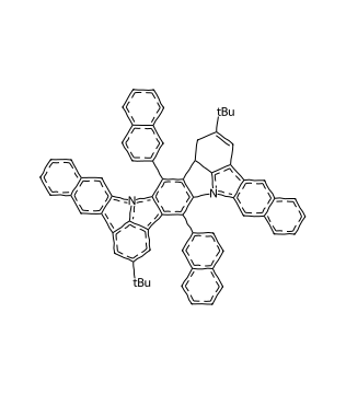 CC(C)(C)C1=Cc2c3n(c4cc5ccccc5cc24)-c2c(c(-c4ccc5ccccc5c4)c4c(c2-c2ccc5ccccc5c2)c2cc(C(C)(C)C)cc5c6cc7ccccc7cc6n4c52)C3C1